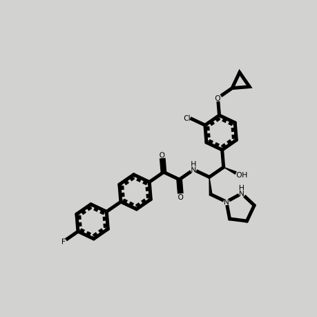 O=C(N[C@H](CN1CCCN1)[C@H](O)c1ccc(OC2CC2)c(Cl)c1)C(=O)c1ccc(-c2ccc(F)cc2)cc1